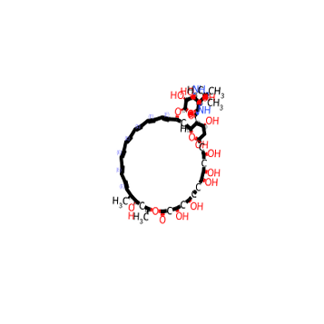 C[C@H]1C[C@H](O)[C@@H](C)/C=C/C=C/C=C/C=C/C=C/C=C/C=C/C(O[C@@H]2OC[C@@H](O)[C@H](N)[C@@H]2O)C[C@@H]2OC(O)(CC(O)CC(O)C(O)CCC(O)CC(O)CC(=O)O1)C[C@H](O)[C@H]2C(=O)N[C@H](CO)C(C)(C)C